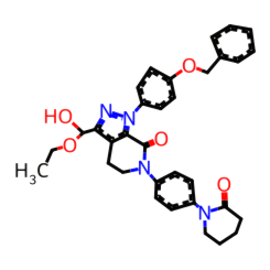 CCOC(O)c1nn(-c2ccc(OCc3ccccc3)cc2)c2c1CCN(c1ccc(N3CCCCC3=O)cc1)C2=O